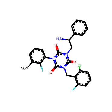 COc1cccc(-n2c(=O)n(Cc3c(F)cccc3Cl)c(=O)n(CC(N)c3ccccc3)c2=O)c1F